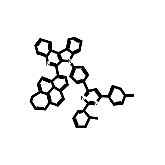 CC1C=CC(c2cc(-c3ccc(-n4c5ccccc5c5c6ccccc6nc(C6=CC=C7C=CC8=C9C(=CC=C6C79)CCC=C8)c54)cc3)nc(C3=CC=CCC3C)n2)=CC1